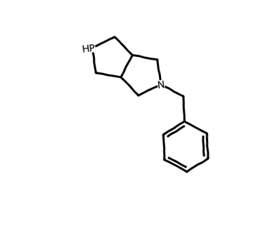 c1ccc(CN2CC3CPCC3C2)cc1